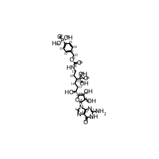 Nc1nc2c(ncn2[C@@H]2O[C@H](C(O)CCC(CCNC(=O)OCc3ccc(P(=O)(O)O)cc3)P(=O)(O)O)[C@@H](O)[C@H]2O)c(=O)[nH]1